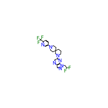 FC(F)Cn1ncc2ncc(N3CCCC4(CCN(c5ccc(C(F)(F)F)nc5)CC4)C3)nc21